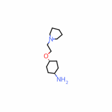 N[C@H]1CC[C@H](OCCN2CCCCC2)CC1